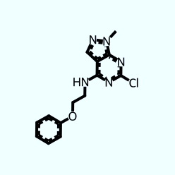 Cn1ncc2c(NCCOc3ccccc3)nc(Cl)nc21